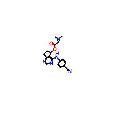 CN(C)CC(=O)OC1CCc2ncnc(Nc3ccc(C#N)cc3)c21